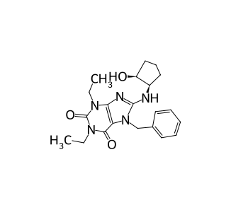 CCn1c(=O)c2c(nc(N[C@@H]3CCC[C@@H]3O)n2Cc2ccccc2)n(CC)c1=O